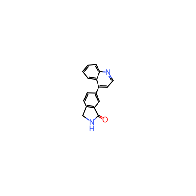 O=C1NCc2ccc(-c3ccnc4ccccc34)cc21